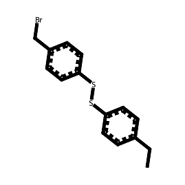 CCc1ccc(SSc2ccc(CBr)cc2)cc1